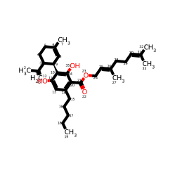 C=C(C)C1CCC(C)=C[C@H]1c1c(O)cc(CCCCC)c(C(=O)OC/C=C(\C)CCC=C(C)C)c1O